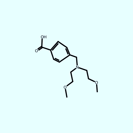 COCCN(CCOC)Cc1ccc(C(=O)O)cc1